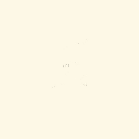 Cc1cc(OC=O)cc(C(=O)Nc2cc(OC=O)cc(C(=O)O)c2)c1